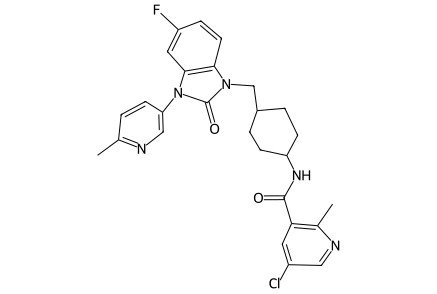 Cc1ccc(-n2c(=O)n(CC3CCC(NC(=O)c4cc(Cl)cnc4C)CC3)c3ccc(F)cc32)cn1